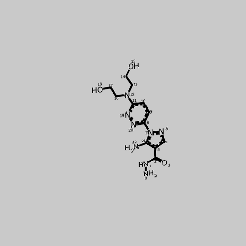 NNC(=O)c1cnn(-c2ccc(N(CCO)CCO)nn2)c1N